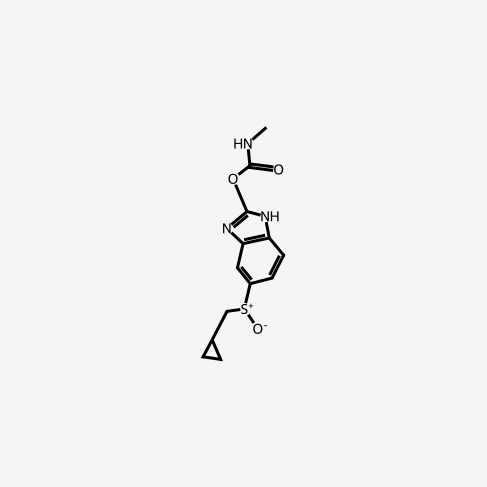 CNC(=O)Oc1nc2cc([S+]([O-])CC3CC3)ccc2[nH]1